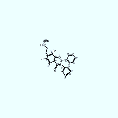 Cc1c(F)c(CCNC(C)(C)C)c(Br)c(OCc2ccccc2)c1C(=O)Oc1ccccc1